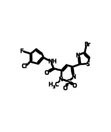 CN1C(C(=O)Nc2ccc(F)c(Cl)c2)=CC(c2nc(Br)cs2)=NS1(=O)=O